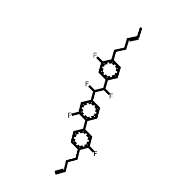 C=CCCc1ccc(-c2ccc(C(F)C(F)c3ccc(CC/C=C/C)c(F)c3)cc2F)cc1F